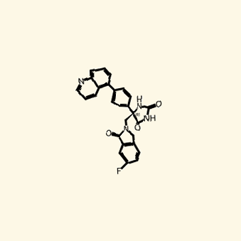 O=C1NC(=O)[C@](CN2Cc3ccc(F)cc3C2=O)(c2ccc(-c3cccc4ncccc34)cc2)N1